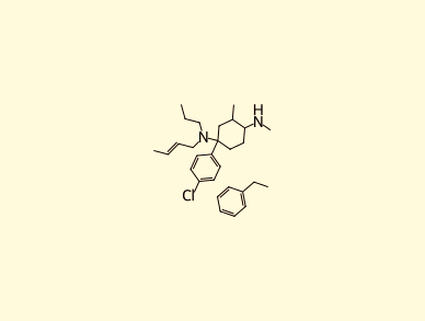 CC=CCN(CCC)C1(c2ccc(Cl)cc2)CCC(NC)C(C)C1.CCc1ccccc1